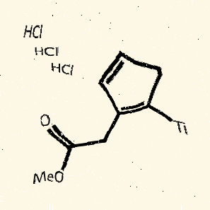 COC(=O)CC1=[C]([Ti])CC=C1.Cl.Cl.Cl